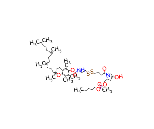 CCCCCOP(C)(=O)OCC1C[C@@H](O)CN1C(=O)CCCSSCCNC(=O)Oc1c(C)c(C)c2c(c1C)CC[C@@](C)(CCC[C@@H](C)CCC[C@@H](C)CCCC(C)C)O2